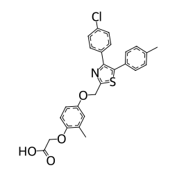 Cc1ccc(-c2sc(COc3ccc(OCC(=O)O)c(C)c3)nc2-c2ccc(Cl)cc2)cc1